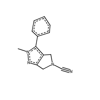 Cn1nc2c(c1-c1ccccc1)CN(C#N)C2